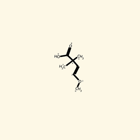 CO/C=C/C(C)(C)C(=O)O